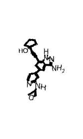 Nc1n[nH]c2c(C#CC3(O)CCCC3)cc(-c3ccnc(NC4COC4)c3)cc12